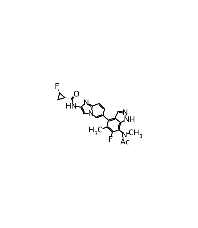 CC(=O)N(C)c1c(F)c(C)c(-c2ccc3nc(NC(=O)[C@@H]4C[C@@H]4F)cn3c2)c2cn[nH]c12